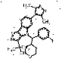 Cc1nnn(C)c1-c1cnc2c3snc(C(C)(C)O)c3n(C(c3cccc(F)c3)C3CCOCC3)c2c1